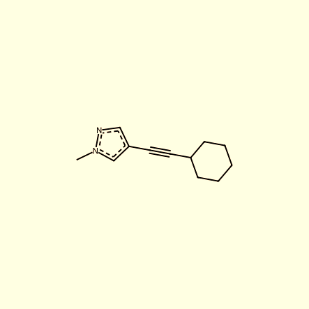 Cn1cc(C#CC2CCCCC2)cn1